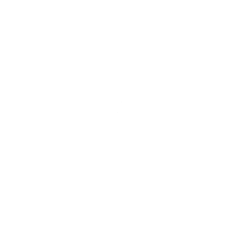 S=P(Oc1ccccc1)(Oc1c(Cl)cc(Cl)cc1Cl)Sc1ccccc1